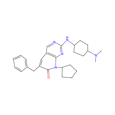 CN(C)C1CCC(Nc2ncc3cc(Cc4ccccc4)c(=O)n(C4CCCC4)c3n2)CC1